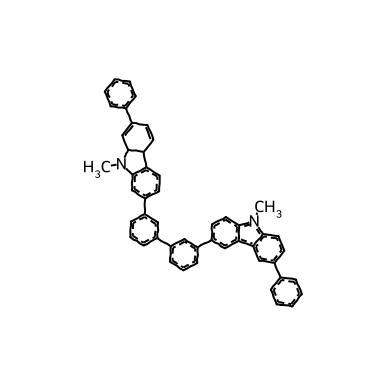 CN1c2cc(-c3cccc(-c4cccc(-c5ccc6c(c5)c5cc(-c7ccccc7)ccc5n6C)c4)c3)ccc2C2C=CC(c3ccccc3)=CC21